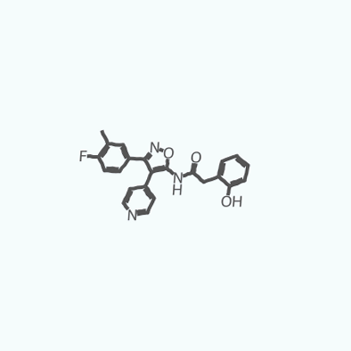 Cc1cc(-c2noc(NC(=O)Cc3ccccc3O)c2-c2ccncc2)ccc1F